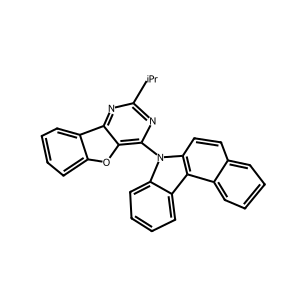 CC(C)c1nc(-n2c3ccccc3c3c4ccccc4ccc32)c2oc3ccccc3c2n1